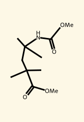 COC(=O)NC(C)(C)CC(C)(C)C(=O)OC